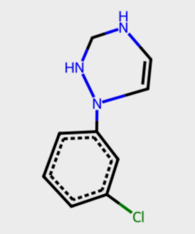 Clc1cccc(N2C=CNCN2)c1